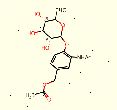 BC(=O)OCc1ccc(OC2OC(C=O)[C@@H](O)C(O)[C@H]2O)c(NC(C)=O)c1